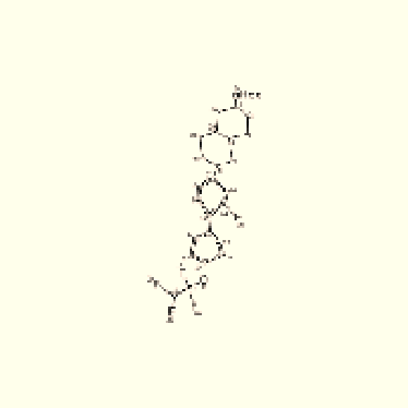 CCCCCCC1CCC2CC(c3ccc(-c4ccc(OC(F)(F)C(F)F)cc4)c(F)c3)CCC2C1